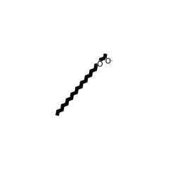 CCCCCCCCCCCCCCCCCCOCC(C)[O]